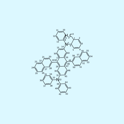 CC1C=CC=CC1N(c1ccccc1)c1ccc2c(-c3ccc4ccccc4c3)c3cc(N(c4ccccc4)c4ccccc4)ccc3c(-c3ccc4ccccc4c3)c2c1